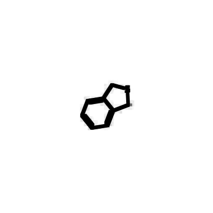 [CH]1SCc2ccccc21